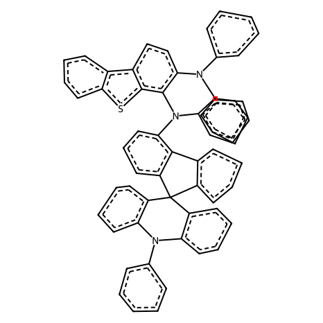 c1ccc(N(c2ccccc2)c2ccc3c(sc4ccccc43)c2N(c2ccccc2)c2cccc3c2-c2ccccc2C32c3ccccc3N(c3ccccc3)c3ccccc32)cc1